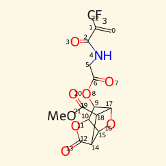 C=C(C(=O)NCC(=O)OC1C2OC(=O)C3C2OC1C3C(=O)OC)C(F)(F)F